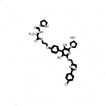 C[C@H](NC(=O)[C@@H]1CCCN1)C(=O)OCCOc1ccc(-c2c(C#N)c(SCc3csc(-c4ccc(Cl)cc4)n3)nc(N3CCCC3)c2C#N)cc1.Cl